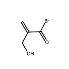 C=C(CO)C(=O)Br